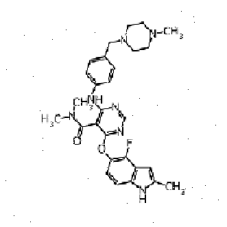 Cc1cc2c(F)c(Oc3ncnc(Nc4ccc(CN5CCN(C)CC5)cc4)c3C(=O)N(C)C)ccc2[nH]1